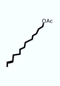 CC=CCCCCCCCCCCOC(C)=O